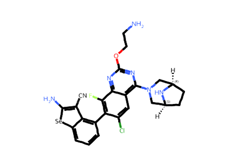 N#Cc1c(N)[se]c2cccc(-c3c(Cl)cc4c(N5C[C@H]6CC[C@@H](C5)N6)nc(OCCN)nc4c3F)c12